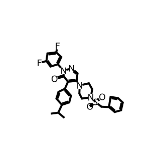 CC(C)c1ccc(-c2c(N3CCN(S(=O)(=O)Cc4ccccc4)CC3)cnn(-c3cc(F)cc(F)c3)c2=O)cc1